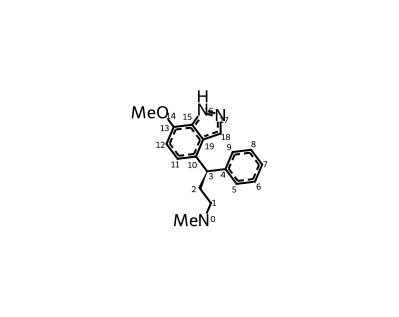 CNCC[C@H](c1ccccc1)c1ccc(OC)c2[nH]ncc12